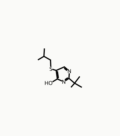 CC(C)CSc1cnc(C(C)(C)C)nc1O